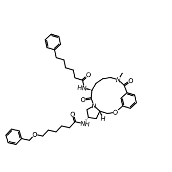 CN1CCC[C@H](NC(=O)CCCCCc2ccccc2)C(=O)N2C[C@@H](NC(=O)CCCCCOCc3ccccc3)C[C@H]2COc2cccc(c2)C1=O